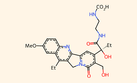 CCc1c2c(nc3ccc(OC)cc13)-c1cc([C@@](O)(CC)C(=O)NCCNC(=O)O)c(CO)c(=O)n1C2